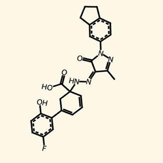 CC1=NN(c2ccc3c(c2)CCC3)C(=O)C1=NNC1(C(=O)O)C=CC=C(c2cc(F)ccc2O)C1